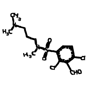 CN(C)CCCN(C)S(=O)(=O)c1ccc(Cl)c(C=O)c1Cl